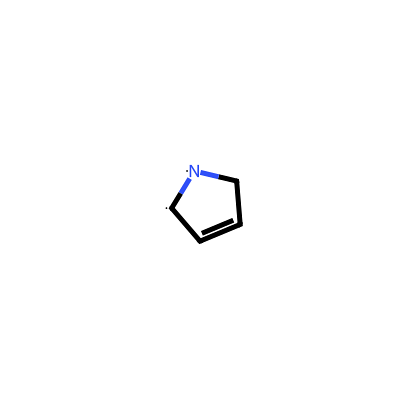 [CH]1C=CC[N]1